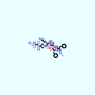 CC(C)C[C@@H](NC(=O)[C@@H](Cc1ccccc1)NC(=O)[C@H](N)Cc1ccccc1)C(=O)N[C@H](CCCCN)C(=O)N1CCC(NC(=O)C(N)=O)CC1